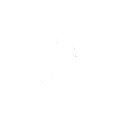 CCCCCC1C=NSc2ccccc21